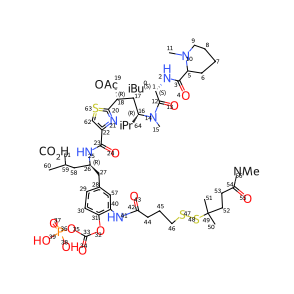 CC[C@H](C)[C@H](NC(=O)C1CCCCN1C)C(=O)N(C)[C@H](C[C@@H](OC(C)=O)c1nc(C(=O)N[C@@H](Cc2ccc(OC(=O)OP(=O)(O)O)c(NC(=O)CCCSSC(C)(C)CCC(=O)NC)c2)CC(C)C(=O)O)cs1)C(C)C